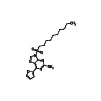 CCCCCCCCCCS(=O)(=O)n1cnc2c(-c3ccco3)nc(N)nc21